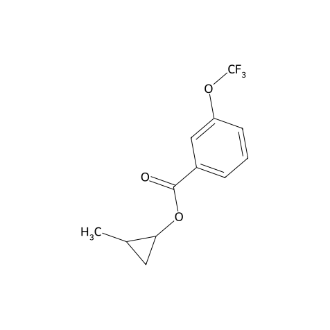 CC1CC1OC(=O)c1cccc(OC(F)(F)F)c1